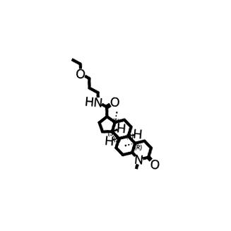 CCOCCCNC(=O)C1CC[C@H]2[C@@H]3CCC4N(C)C(=O)CC[C@]4(C)[C@@H]3CC[C@]12C